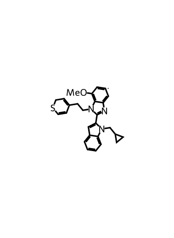 COc1c[c]cc2nc(-c3cc4ccccc4n3CC3CC3)n(CCC3=CCSC=C3)c12